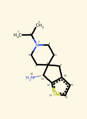 CC(C)N1CCC2(CC1)Cc1ccsc1[C@@H]2N